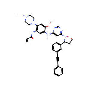 C=CC(=O)Nc1cc(Nc2cc(N3OCCC3c3cccc(C#Cc4ccccc4)c3)ncn2)c(OC)cc1N1CCN(C)CC1